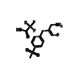 CS(=O)(=O)c1ccc(CC(=CF)CN)cc1.O=C(O)C(F)(F)F